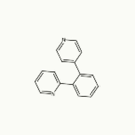 [c]1ccc(-c2ccccn2)c(-c2ccncc2)c1